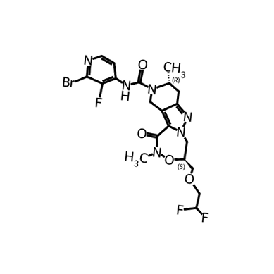 C[C@@H]1Cc2nn3c(c2CN1C(=O)Nc1ccnc(Br)c1F)C(=O)N(C)O[C@H](COCC(F)F)C3